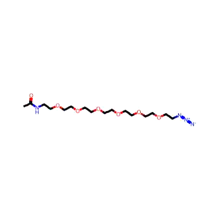 CC(=O)NCCOCCOCCOCCOCCOCCOCCN=[N+]=[N-]